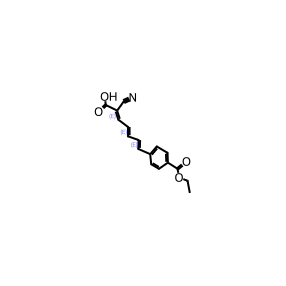 CCOC(=O)c1ccc(/C=C/C=C/C=C(\C#N)C(=O)O)cc1